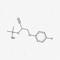 C#CC(COc1ccc(F)cc1)O[Si](C)(C)C(C)(C)C